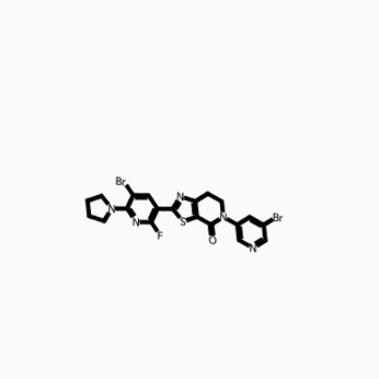 O=C1c2sc(-c3cc(Br)c(N4CCCC4)nc3F)nc2CCN1c1cncc(Br)c1